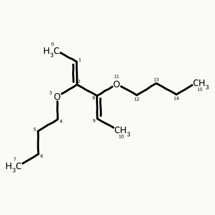 CC=C(OCCCC)C(=CC)OCCCC